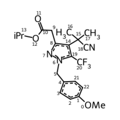 COc1ccc(Cn2nc(CC(=O)OC(C)C)c(C(C)(C)C#N)c2C(F)(F)F)cc1